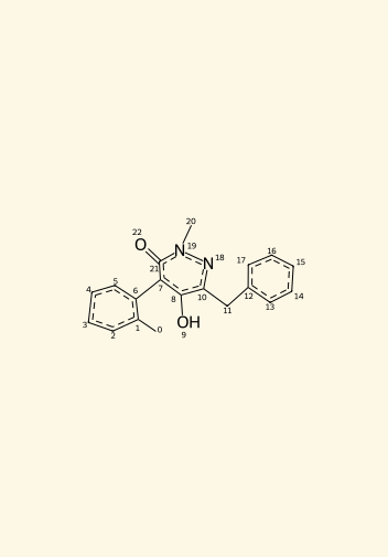 Cc1ccccc1-c1c(O)c(Cc2ccccc2)nn(C)c1=O